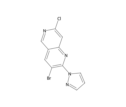 Clc1cc2nc(-n3cccn3)c(Br)cc2cn1